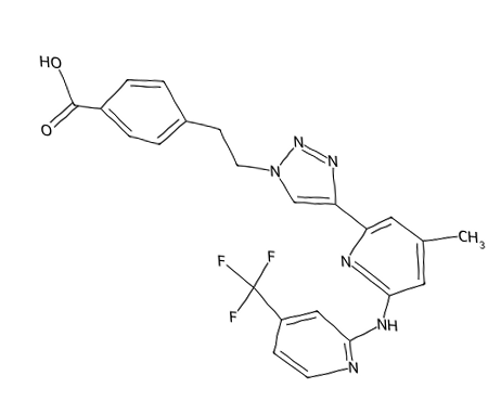 Cc1cc(Nc2cc(C(F)(F)F)ccn2)nc(-c2cn(CCc3ccc(C(=O)O)cc3)nn2)c1